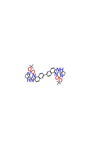 CC(C)(C)OC(=O)N1CCC[C@H]1c1nc2c(ccc3cc(-c4ccc5c(ccc6[nH]c([C@@H]7CCCN7C(=O)OC(C)(C)C)nc65)c4)ccc32)[nH]1